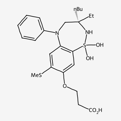 CCCC[C@@]1(CC)CN(c2ccccc2)c2cc(SC)c(OCCC(=O)O)cc2S(O)(O)N1